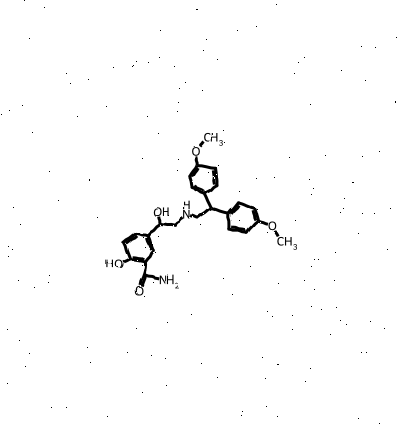 COc1ccc(C(CNCC(O)c2ccc(O)c(C(N)=O)c2)c2ccc(OC)cc2)cc1